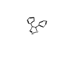 [C]1=NOC(c2ccccc2)C1c1ccccc1